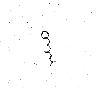 CN(C)/C=C/C(=O)COCc1ccccc1